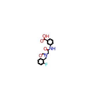 O=CN(CC(=O)Nc1cccc(C(=O)O)c1)Cc1ccccc1F